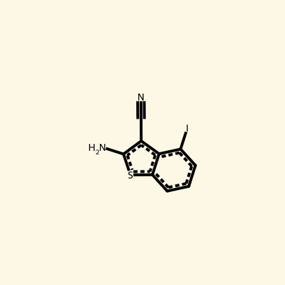 N#Cc1c(N)sc2cccc(I)c12